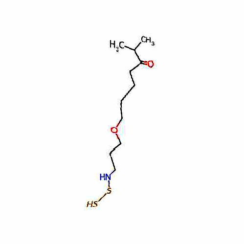 CC(C)C(=O)CCCCOCCCNSS